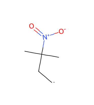 [CH2]CC(C)(C)[N+](=O)[O-]